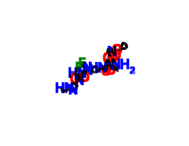 CC(C)(C)[C@H](N)C(=O)N1C[C@H](OC(=O)[C@@H]2CCCN2C(=O)OCc2ccccc2)C[C@H]1C(=O)NCc1ccc(-n2cc(NC(=O)c3coc(-c4ccnc(NCC5CC5)c4)n3)c(C(F)F)n2)cc1